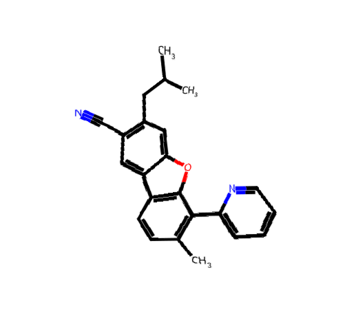 Cc1ccc2c(oc3cc(CC(C)C)c(C#N)cc32)c1-c1ccccn1